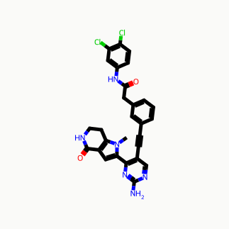 Cn1c(-c2nc(N)ncc2C#Cc2cccc(CC(=O)Nc3ccc(Cl)c(Cl)c3)c2)cc2c1CCNC2=O